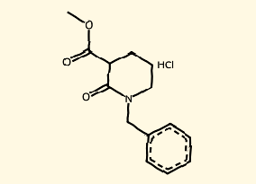 COC(=O)C1CCCN(Cc2ccccc2)C1=O.Cl